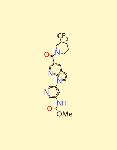 COC(=O)Nc1cncc(-n2ccc3cc(C(=O)N4CCC[C@H](C(F)(F)F)C4)cnc32)c1